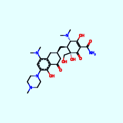 CN1CCN(c2cc(N(C)C)c3c(c2O)C(=O)C[C@H](C[C@H]2[C@H](N(C)C)C(O)=C(C(N)=O)C(=O)[C@@]2(O)CO)C3)CC1